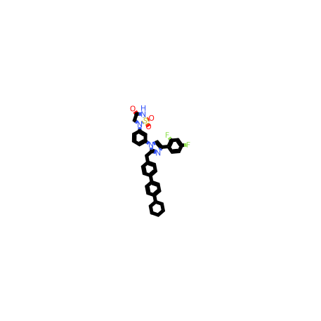 O=C1CN(c2cccc(-n3cc(-c4ccc(F)cc4F)nc3Cc3ccc(-c4ccc(C5CCCCC5)cc4)cc3)c2)S(=O)(=O)N1